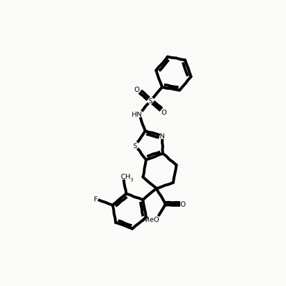 COC(=O)C1(c2cccc(F)c2C)CCc2nc(NS(=O)(=O)c3ccccc3)sc2C1